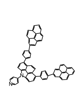 c1cc2ccc3cc(-c4ccc(-c5ccc6c7c5ccc5c(-c8ccc(-c9cc%10ccc%11cccc%12ccc(c9)c%10c%11%12)cc8)ccc(c57)n6-c5ccncc5)cc4)cc4ccc(c1)c2c34